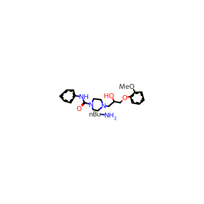 CCCCN.COc1ccccc1OCC(O)CN1CCN(C(=O)Nc2ccccc2)CC1